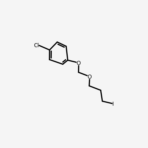 Clc1ccc(OCOCCCI)cc1